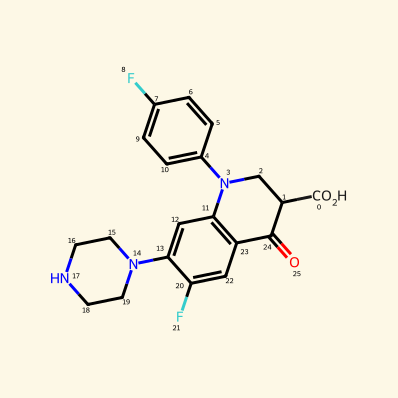 O=C(O)C1CN(c2ccc(F)cc2)c2cc(N3CCNCC3)c(F)cc2C1=O